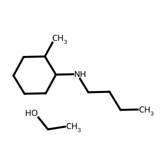 CCCCNC1CCCCC1C.CCO